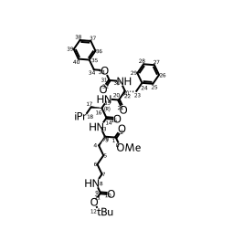 COC(=O)[C@@H](CCCCNC(=O)OC(C)(C)C)NC(=O)[C@@H](CC(C)C)NC(=O)[C@@H](Cc1ccccc1)NC(=O)OCc1ccccc1